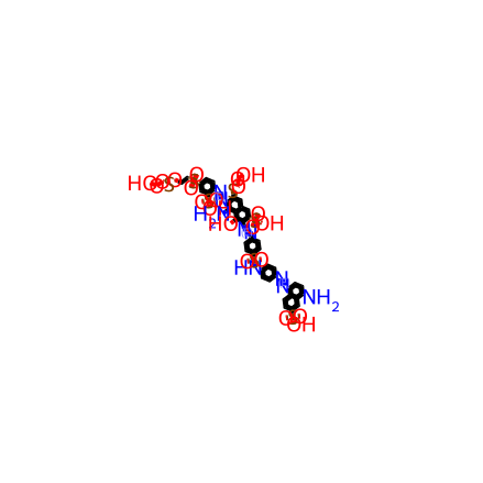 Nc1ccc(/N=N/c2ccc(NS(=O)(=O)c3ccc(/N=N/c4c(S(=O)(=O)O)cc5cc(SOOO)c(/N=N/c6ccc(S(=O)(=O)CCOSOOO)cc6S(=O)(=O)O)c(N)c5c4O)cc3)cc2)c2ccc(S(=O)(=O)O)cc12